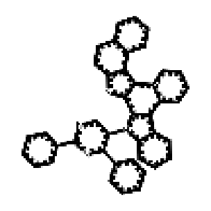 c1ccc(-c2ncc(-n3c4ccccc4c4c5ccccc5c5c(sc6ccc7ccccc7c65)c43)c(-c3ccccc3)n2)cc1